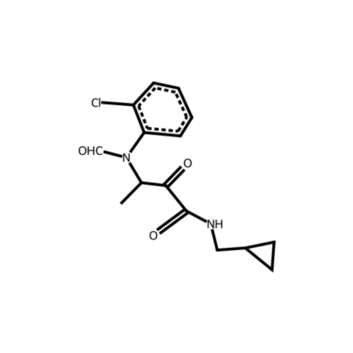 CC(C(=O)C(=O)NCC1CC1)N(C=O)c1ccccc1Cl